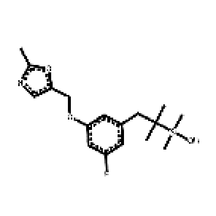 Cc1ncc(COc2cc(F)cc(CC(C)(C)[Si](C)(C)O)c2)o1